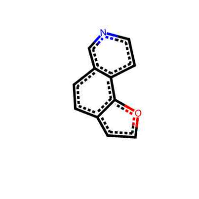 c1cc2c(ccc3ccoc32)cn1